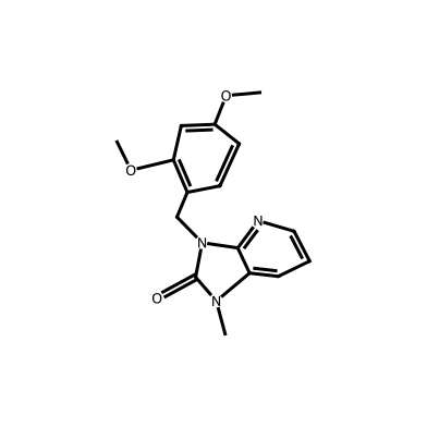 COc1ccc(Cn2c(=O)n(C)c3cccnc32)c(OC)c1